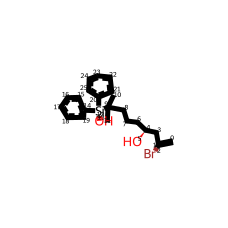 C=C(Br)C[C@H](O)CCCC(C)(C)[Si](O)(c1ccccc1)c1ccccc1